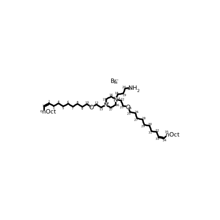 CCCCCCCC/C=C\CCCCCCCCOCCN1CC[N+](CCCN)(CCOCCCCCCCC/C=C\CCCCCCCC)CC1.[Br-]